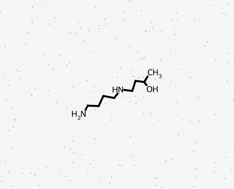 CC(O)CCNCCCCN